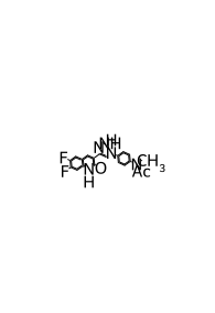 CC(=O)N(C)c1ccc(N/C=C(\N=N)c2cc3cc(F)c(F)cc3[nH]c2=O)cc1